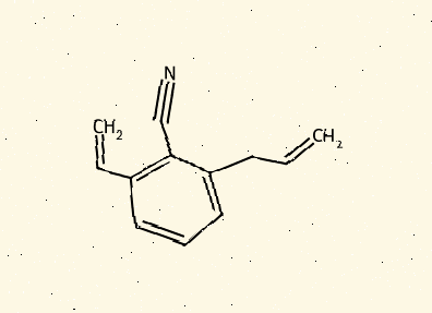 C=CCc1cccc(C=C)c1C#N